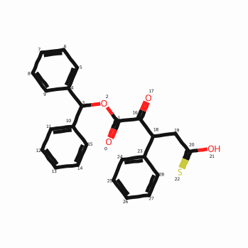 O=C(OC(c1ccccc1)c1ccccc1)C(=O)C(CC(O)=S)c1ccccc1